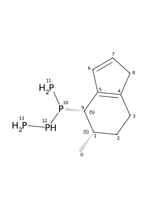 C[C@H]1CCC2=C(C=CC2)[C@H]1P(P)PP